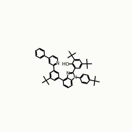 CC(C)(C)c1ccc(-n2c(-c3cc(C(C)(C)C)cc(C(C)(C)C)c3O)nc3c(-c4cc(-c5cc(-c6ccccc6)ccn5)cc(C(C)(C)C)c4)cccc32)cc1